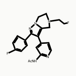 CC(=O)Nc1cc(-c2c(-c3ccc(F)cc3)nn3c2CN(CCF)CC3)ccn1